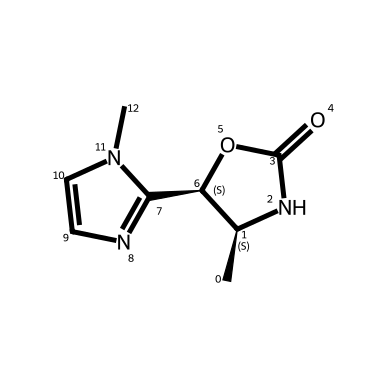 C[C@@H]1NC(=O)O[C@@H]1c1nccn1C